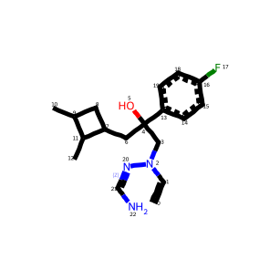 C=CN(CC(O)(CC1CC(C)C1C)c1ccc(F)cc1)/N=C\N